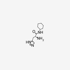 N[C@@H](Cc1cnc[nH]1)C(=O)NC1CCCCC1